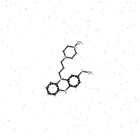 CSc1ccc2c(c1)N(CCCN1CCN(C)CC1)c1ccccc1S2